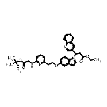 CCOC(=O)CC(c1cnc2ccccc2c1)n1ccc2cc(OCCc3cccc(NCC(=O)OC(C)(C)C)n3)ccc21